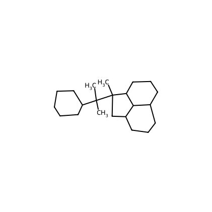 CC(C)(C1CCCCC1)C1(C)CC2CCCC3CCCC1C32